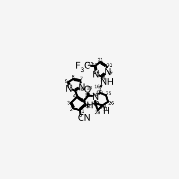 N#Cc1ccc(-c2ncccn2)c(C(=O)N2[C@H](CNc3nccc(C(F)(F)F)n3)CC[C@H]3C[C@H]32)c1